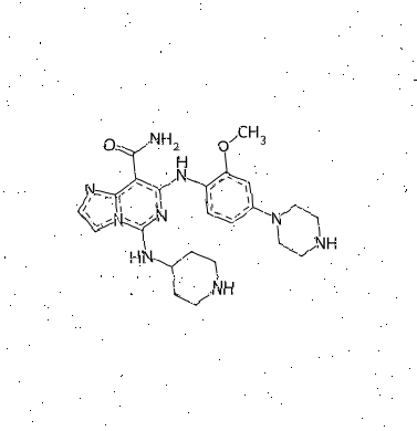 COc1cc(N2CCNCC2)ccc1Nc1nc(NC2CCNCC2)n2ccnc2c1C(N)=O